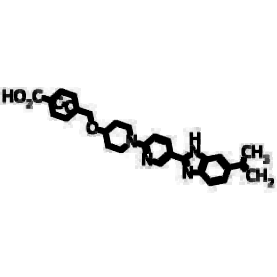 C=C(C)c1ccc2nc(-c3ccc(N4CCC(OCC56CCC(C(=O)O)(CC5)CC6)CC4)nc3)[nH]c2c1